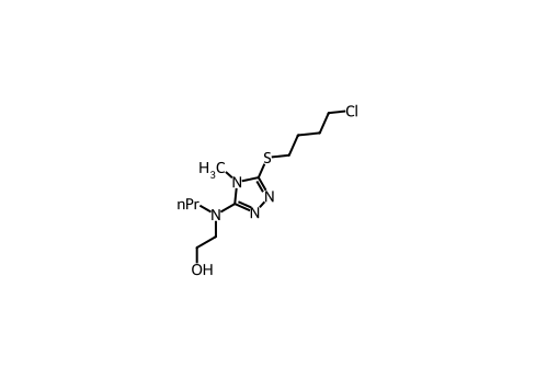 CCCN(CCO)c1nnc(SCCCCCl)n1C